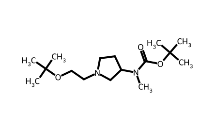 CN(C(=O)OC(C)(C)C)C1CCN(CCOC(C)(C)C)C1